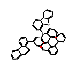 c1ccc(-c2cccc3cccc(-c4ccccc4N(c4cccc(-c5cccc6c5ccc5ccccc56)c4)c4cccc5c4sc4ccccc45)c23)cc1